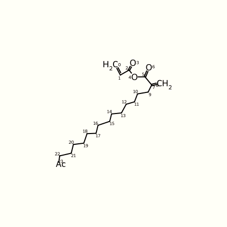 C=CC(=O)OC(=O)C(=C)CCCCCCCCCCCCCCC(C)=O